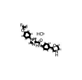 Cl.O=C(Nc1ccc(C2CNCCO2)cc1)c1ncn(-c2ccc(OC(F)F)cc2)n1